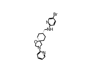 Brc1ccc(NC[C@H]2CC[C@]3(CC2)CN(c2ccccn2)CO3)nc1